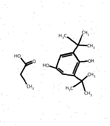 CC(C)(C)c1cc(O)cc(C(C)(C)C)c1O.CCC(=O)O